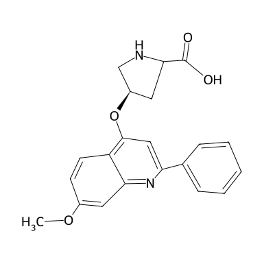 COc1ccc2c(O[C@H]3CNC(C(=O)O)C3)cc(-c3ccccc3)nc2c1